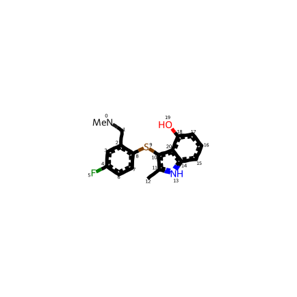 CNCc1cc(F)ccc1Sc1c(C)[nH]c2cccc(O)c12